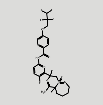 CC1(c2nc(NC(=O)c3ccc(OCC(F)(F)C(F)F)cn3)ccc2F)CS2(=O)=NCCCCC2(C)C(N)=N1